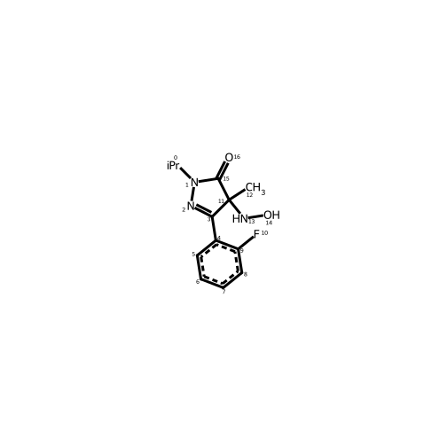 CC(C)N1N=C(c2ccccc2F)C(C)(NO)C1=O